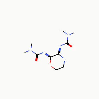 CCN(CC)C(=O)N=C1NCCOC1=NC(=O)N(CC)CC